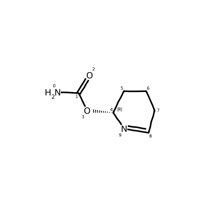 NC(=O)O[C@@H]1CCCC=N1